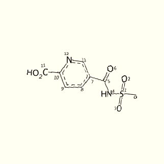 CS(=O)(=O)NC(=O)c1ccc(C(=O)O)nc1